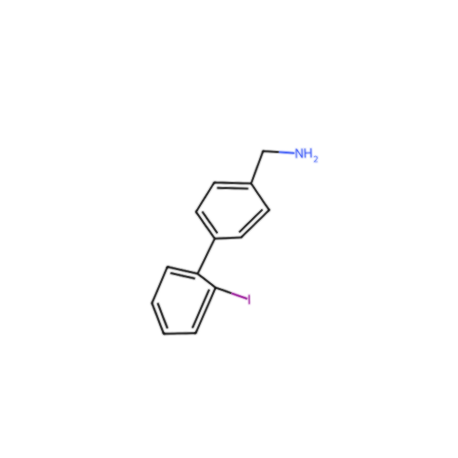 NCc1ccc(-c2ccccc2I)cc1